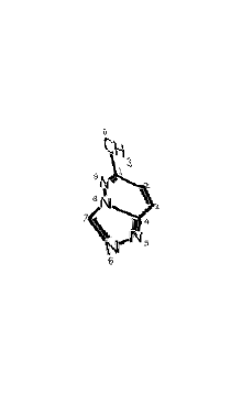 Cc1ccc2nncn2n1